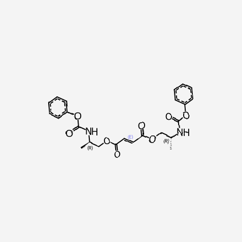 C[C@H](COC(=O)/C=C/C(=O)OC[C@@H](C)NC(=O)Oc1ccccc1)NC(=O)Oc1ccccc1